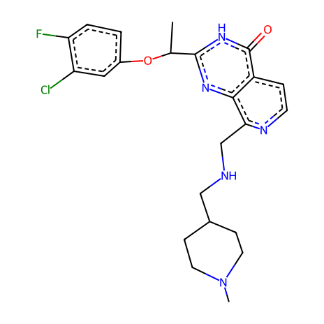 CC(Oc1ccc(F)c(Cl)c1)c1nc2c(CNCC3CCN(C)CC3)nccc2c(=O)[nH]1